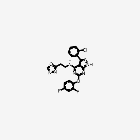 Fc1ccc(Oc2nc(NCCc3nnco3)c3c(-c4ccccc4Cl)n[nH]c3n2)c(F)c1